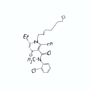 CCCc1c(C(=O)N(C)c2ccccc2Cl)c(=O)cc(CC)n1CCCCCCCl